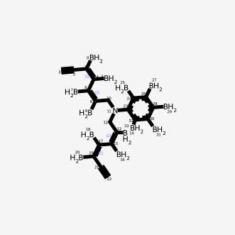 B/C(C#C)=C(B)/C(B)=C(/B)CN(C/C(B)=C(B)\C(B)=C(\B)C#C)c1c(B)c(B)c(B)c(B)c1B